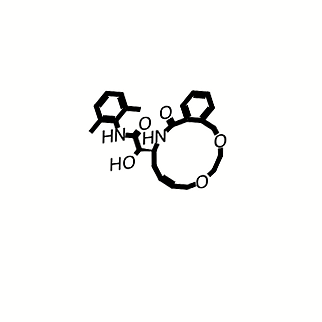 Cc1cccc(C)c1NC(=O)C(O)[C@@H]1C/C=C\COCCOCc2ccccc2C(=O)N1